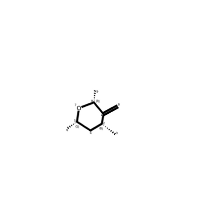 C=C1[C@H](C)C[C@H](C)O[C@@H]1C